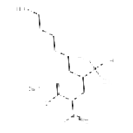 CCCCCCCC(CC(C(=O)[O-])C(=O)[O-])C(C)(C)C.[Ba+2]